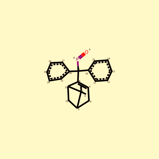 CC1(C)C2CC=C(C(P=O)(c3ccccc3)c3ccccc3)C1C2